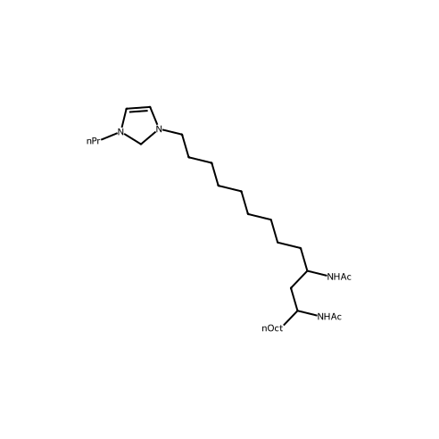 CCCCCCCCC(CC(CCCCCCCCCN1C=CN(CCC)C1)NC(C)=O)NC(C)=O